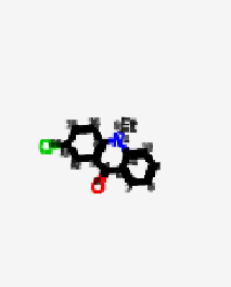 CCn1c2c(c(=O)c3ccccc31)CC(Cl)C=C2